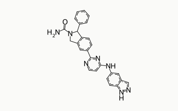 NC(=O)N1Cc2cc(-c3nccc(Nc4ccc5[nH]ncc5c4)n3)ccc2C1c1ccccc1